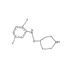 Fc1ccc(F)c(NOC2CCNCC2)c1